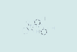 C=C1C2=C(CCCC2)C(=O)N1c1nc(Oc2ccccc2O)c(Cl)cc1F